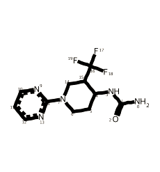 NC(=O)NC1CCN(c2ncccn2)CC1C(F)(F)F